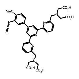 COc1ccc(-c2cc(-c3cccc(CN(CC(=O)O)CC(=O)O)n3)nc(-c3cccc(CN(CC(=O)O)CC(=O)O)n3)c2)cc1N=C=S